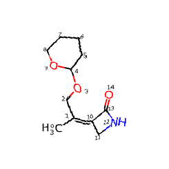 CC(COC1CCCCO1)=C1CNC1=O